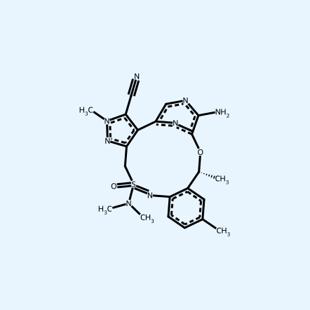 Cc1ccc2c(c1)[C@@H](C)Oc1nc(cnc1N)-c1c(nn(C)c1C#N)CS(=O)(N(C)C)=N2